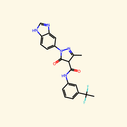 CC1=NN(c2ccc3[nH]cnc3c2)C(=O)C1C(=O)Nc1cccc(C(C)(F)F)c1